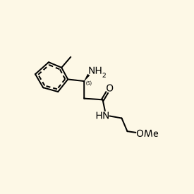 COCCNC(=O)C[C@H](N)c1ccccc1C